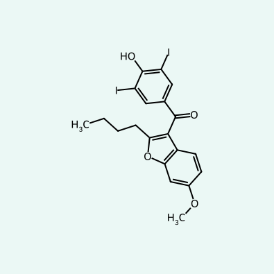 CCCCc1oc2cc(OC)ccc2c1C(=O)c1cc(I)c(O)c(I)c1